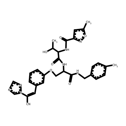 Cc1ccc(CNC(=O)C(COc2cccc(C=C(C#N)n3cncn3)c2)NC(=O)C(NC(=O)c2cc(C)on2)C(C)O)cc1